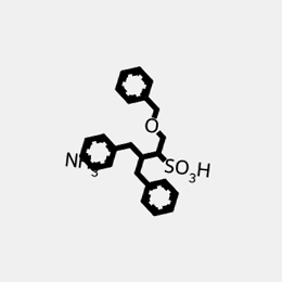 N.O=S(=O)(O)C(COCc1ccccc1)C(Cc1ccccc1)Cc1ccccc1